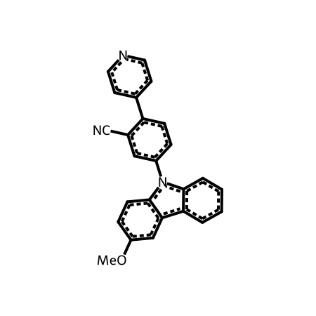 COc1ccc2c(c1)c1ccccc1n2-c1ccc(-c2ccncc2)c(C#N)c1